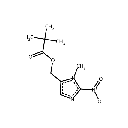 Cn1c(COC(=O)C(C)(C)C)cnc1[N+](=O)[O-]